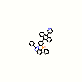 O=P1(c2ccccc2)c2cc(-c3c4ccccc4c(-c4cccnc4)c4ccccc34)ccc2-n2c(-c3ccccc3)nc3cccc1c32